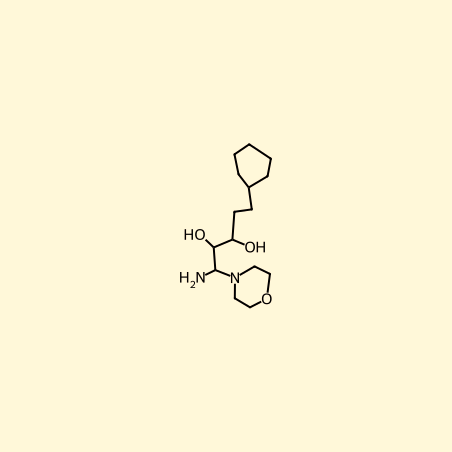 NC(C(O)C(O)CCC1CCCCC1)N1CCOCC1